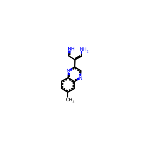 Cc1ccc2nc(/C(C=N)=C/N)cnc2c1